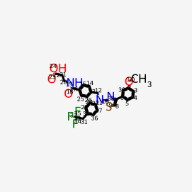 COc1cccc(-c2csc(N(Cc3ccc(C(=O)NCCC(=O)O)cc3)c3ccc(CC(F)(F)F)cc3)n2)c1